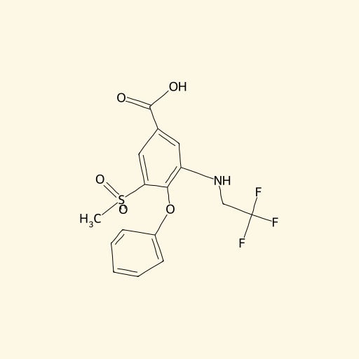 CS(=O)(=O)c1cc(C(=O)O)cc(NCC(F)(F)F)c1Oc1ccccc1